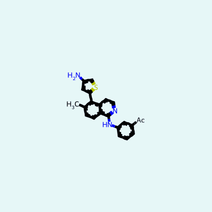 CC(=O)c1cccc(Nc2nccc3c(-c4cc(N)cs4)c(C)ccc23)c1